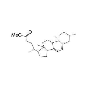 COC(=O)CC[C@@H](C)C1CCC2C3=CC=C4C[C@@H](C)CC[C@]4(C)C3CCC21C